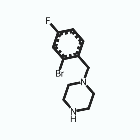 Fc1ccc(CN2CCNCC2)c(Br)c1